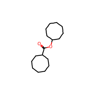 O=C(OC1CCCCCCC1)C1CCCCCCC1